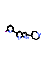 Ic1cccc(-c2cnc3[nH]c(C4=CCNCCC4)cc3c2)n1